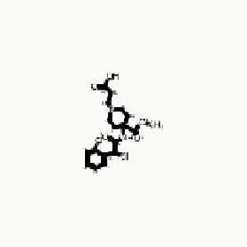 COC(=O)C1(NC(=O)C(Cl)c2ccccc2Cl)CCN(CCC(=O)O)CC1